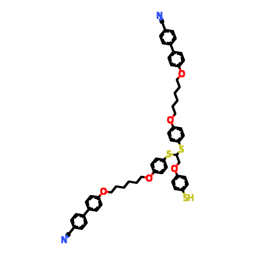 N#Cc1ccc(-c2ccc(OCCCCCCOc3ccc(SC(COc4ccc(S)cc4)Sc4ccc(OCCCCCCOc5ccc(-c6ccc(C#N)cc6)cc5)cc4)cc3)cc2)cc1